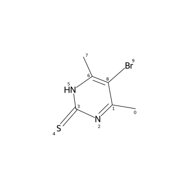 Cc1nc(=S)[nH]c(C)c1Br